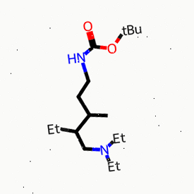 CCC(CN(CC)CC)C(C)CCNC(=O)OC(C)(C)C